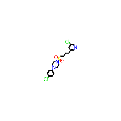 O=S(=O)(/C=C/CCc1cncc(Cl)c1)N1CCN(c2ccc(Cl)cc2)CC1